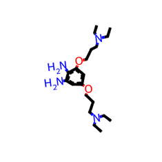 CCN(CC)CCCOc1cc(N)c(N)c(OCCCN(CC)CC)c1